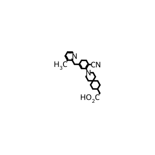 Cc1cccnc1CC1=CC(N2CCC3(CCC(CC(=O)O)CC3)CC2)=C(C#N)CC1